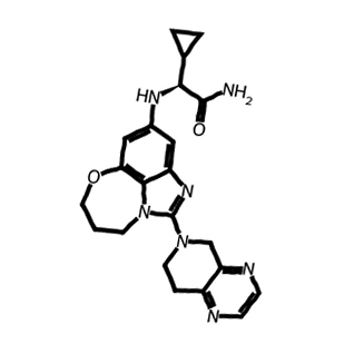 NC(=O)[C@@H](Nc1cc2c3c(c1)nc(N1CCc4nccnc4C1)n3CCCO2)C1CC1